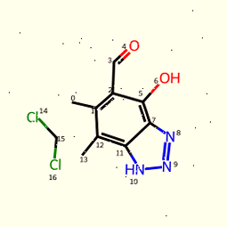 Cc1c(C=O)c(O)c2nn[nH]c2c1C.ClCCl